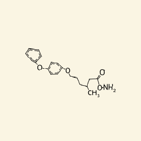 CC(CCCOc1ccc(Oc2ccccc2)cc1)CC(=O)ON